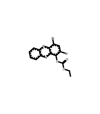 CCOC(=O)Oc1c(Br)cc(Br)c2nc3ccccc3nc12